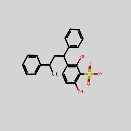 CC(CC(c1ccccc1)c1ccc(O)c(S(=O)(=O)O)c1O)c1ccccc1